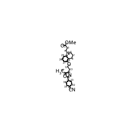 COC(=O)CCN1CCCc2c(OCCc3nc(-c4ccc(C#N)cc4)oc3C)cccc21